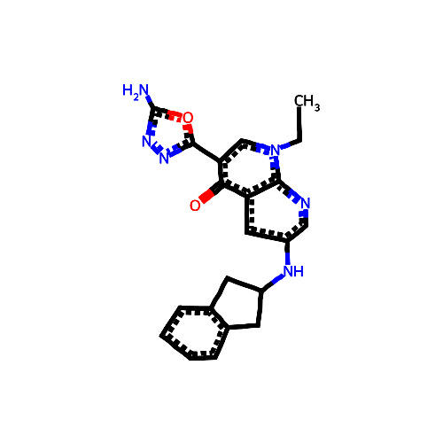 CCn1cc(-c2nnc(N)o2)c(=O)c2cc(NC3Cc4ccccc4C3)cnc21